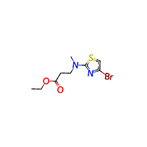 CCOC(=O)CCN(C)c1nc(Br)cs1